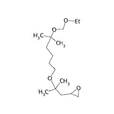 CCOCOC(C)(C)CCCCOC(C)(C)CC1CO1